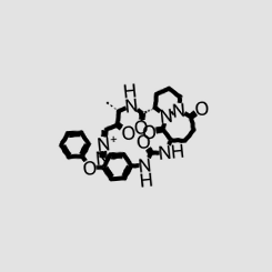 C[C@H](NC(=O)[C@@H]1CCCN2C(=O)CCC(NC(=O)Nc3ccc(Oc4ccccc4)cc3)C(=O)N12)C(=O)C=[N+]=[N-]